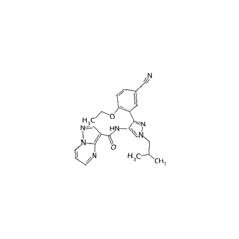 CCOc1ccc(C#N)cc1-c1nn(CC(C)C)cc1NC(=O)c1cnn2cccnc12